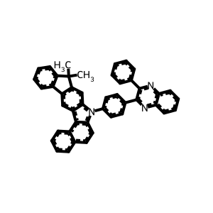 CC1(C)c2ccccc2-c2cc3c4c5ccccc5ccc4n(-c4ccc(-c5nc6ccccc6nc5-c5ccccc5)cc4)c3cc21